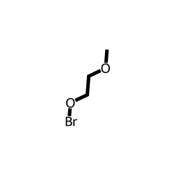 COCCOBr